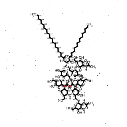 CCCCCCCCCCCCC/C=C/[C@@H](O)[C@H](CO[C@@H]1OC(CO)[C@@H](O[C@@H]2OC(CO)[C@H](O)[C@H](O[C@@H]3OC(CO)[C@@H](O)[C@H](O[C@@H]4OC(CO[C@@H]5OC(CO)[C@@H](O)[C@H](O)C5NC(C)=O)[C@H](O)[C@H](O[C@@H]5OC(CO)[C@@H](O)[C@H](O[C@@H]6OC(CO)[C@H](O)[C@H](O[C@H]7OC(CO)[C@H](O)[C@H](O)C7NC(C)=O)C6O)C5NC(C)=O)C4O)C3NC(C)=O)C2O)[C@H](O)C1O)NC(=O)CCCCCCCCCCCCCCCCCCC